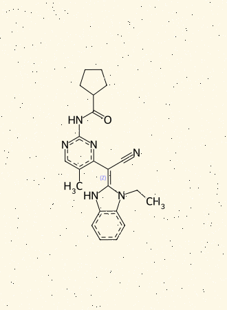 CCN1/C(=C(\C#N)c2nc(NC(=O)C3CCCC3)ncc2C)Nc2ccccc21